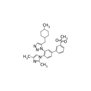 Cc1cn(-c2ccc(-c3cccc(S(C)(=O)=O)c3)cc2-n2nncc2CC2CCC(C)CC2)c(C)n1